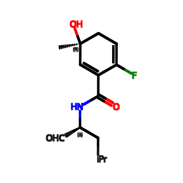 CC(C)C[C@@H](C=O)NC(=O)C1=C[C@@](C)(O)CC=C1F